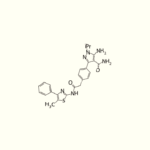 Cc1sc(NC(=O)Cc2ccc(-c3nn(C(C)C)c(N)c3C(N)=O)cc2)nc1-c1ccccc1